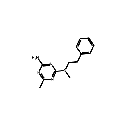 Cc1nc(N)nc(N(C)CCc2ccccc2)n1